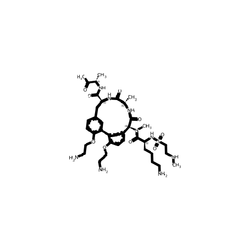 CNCCS(=O)(=O)N[C@@H](CCCCN)C(=O)N(C)[C@@H]1C(=O)N[C@@H](C)C(=O)N[C@H](C(=O)N[C@@H](C)C(C)=O)Cc2ccc(OCCN)c(c2)-c2cc1ccc2OCCN